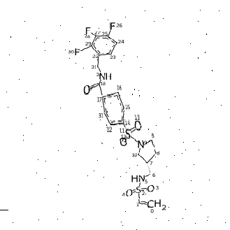 C=CS(=O)(=O)NC[C@H]1CCN(S(=O)(=O)c2ccc(C(=O)NCc3ccc(F)c(F)c3F)cc2)C1